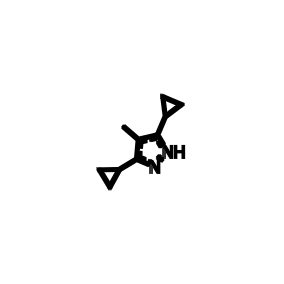 Cc1c(C2CC2)n[nH]c1C1CC1